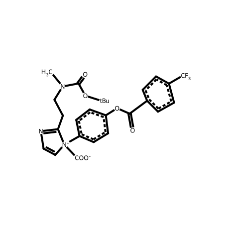 CN(CCC1=NC=C[N+]1(C(=O)[O-])c1ccc(OC(=O)c2ccc(C(F)(F)F)cc2)cc1)C(=O)OC(C)(C)C